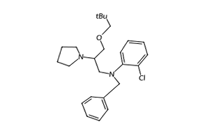 CC(C)(C)COCC(CN(Cc1ccccc1)c1ccccc1Cl)N1CCCC1